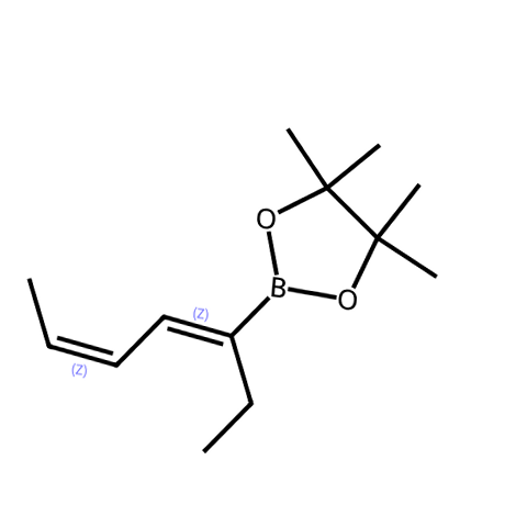 C/C=C\C=C(/CC)B1OC(C)(C)C(C)(C)O1